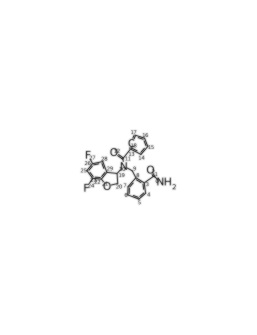 NC(=O)c1ccccc1CN(C(=O)c1ccccc1)C1COc2c(F)cc(F)cc21